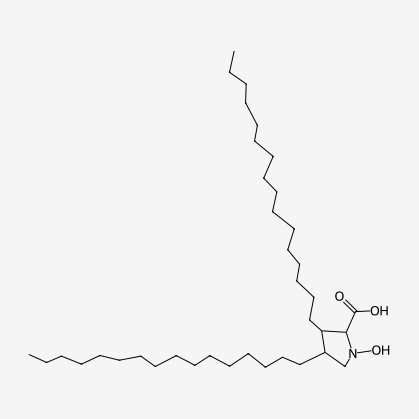 CCCCCCCCCCCCCCCCC1CN(O)C(C(=O)O)C1CCCCCCCCCCCCCCCC